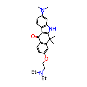 CCN(CC)CCOc1ccc2c(c1)C(C)(C)c1[nH]c3cc(N(C)C)ccc3c1C2=O